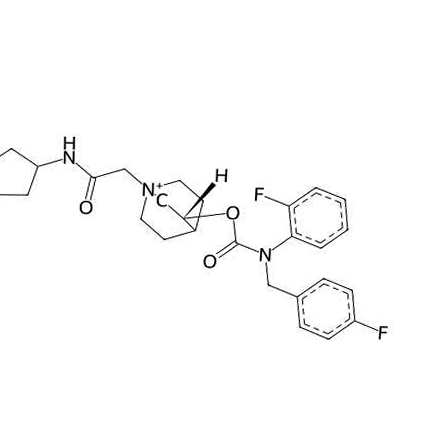 O=C(C[N+]12CCC(CC1)[C@@H](OC(=O)N(Cc1ccc(F)cc1)c1ccccc1F)C2)NC1CCCC1